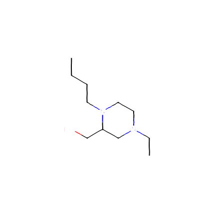 CCCCN1CCN(CC)CC1CO